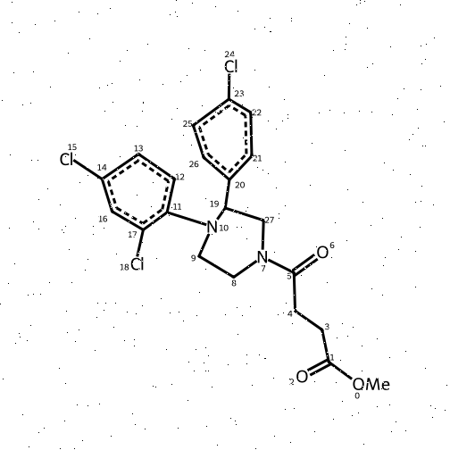 COC(=O)CCC(=O)N1CCN(c2ccc(Cl)cc2Cl)C(c2ccc(Cl)cc2)C1